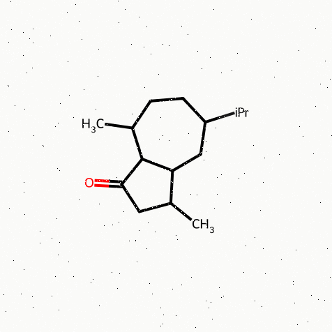 CC(C)C1CCC(C)C2C(=O)CC(C)C2C1